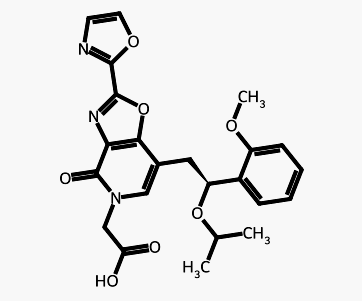 COc1ccccc1[C@H](Cc1cn(CC(=O)O)c(=O)c2nc(-c3ncco3)oc12)OC(C)C